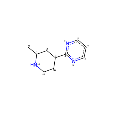 CC1CC(c2n[c]ccn2)CCN1